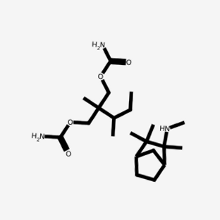 CCC(C)C(C)(COC(N)=O)COC(N)=O.CNC1(C)C2CCC(C2)C1(C)C